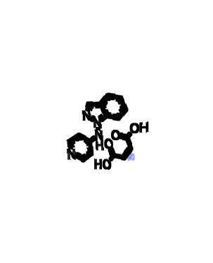 O=C(O)/C=C\C(=O)O.c1ccc2c(c1)cnn2Nc1ccncc1